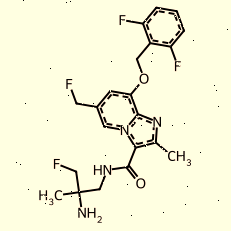 Cc1nc2c(OCc3c(F)cccc3F)cc(CF)cn2c1C(=O)NCC(C)(N)CF